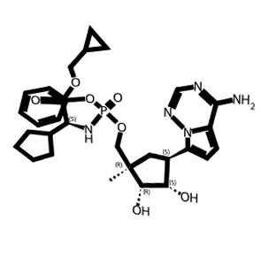 C[C@]1(COP(=O)(N[C@H](C(=O)OCC2CC2)C2CCCC2)Oc2ccccc2)C[C@@H](c2ccc3c(N)ncnn23)[C@H](O)[C@@H]1O